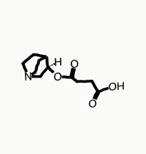 O=C(O)CCC(=O)O[C@H]1CN2CCC1CC2